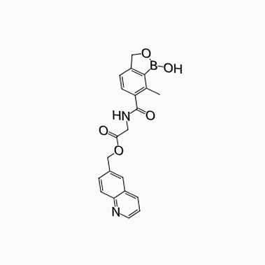 Cc1c(C(=O)NCC(=O)OCc2ccc3ncccc3c2)ccc2c1B(O)OC2